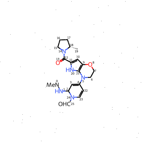 CNNC1C=C(N2CCOc3cc(C(=O)N4CCC[C@@H]4C)[nH]c32)C=CN1C=O